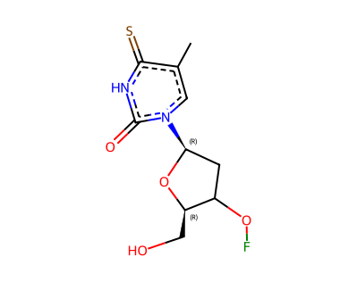 Cc1cn([C@H]2CC(OF)[C@@H](CO)O2)c(=O)[nH]c1=S